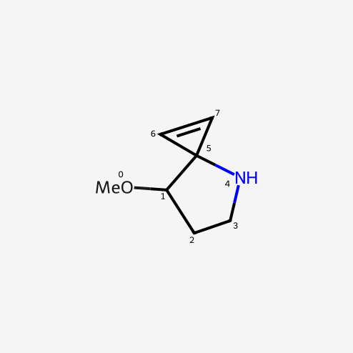 COC1CCNC12C=C2